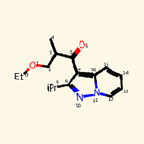 CCOCC(C)C(=O)c1c(C(C)C)nn2ccccc12